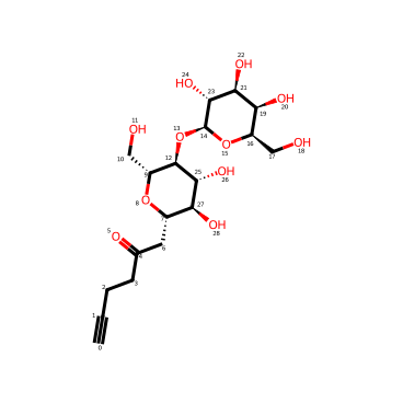 C#CCCC(=O)C[C@@H]1O[C@H](CO)[C@@H](O[C@@H]2O[C@H](CO)[C@H](O)[C@H](O)[C@H]2O)[C@H](O)[C@H]1O